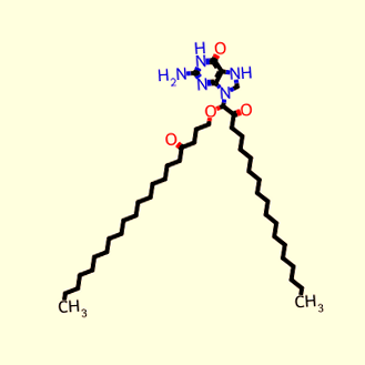 CCCCCCCCCCCCCCCCCC(=O)CCCOC(C(=O)CCCCCCCCCCCCCCCCC)N1CNc2c1nc(N)[nH]c2=O